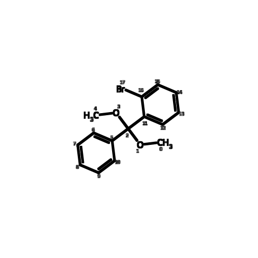 COC(OC)(c1ccccc1)c1ccccc1Br